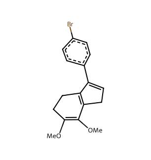 COC1=C(OC)C2=C(CC1)C(c1ccc(Br)cc1)=CC2